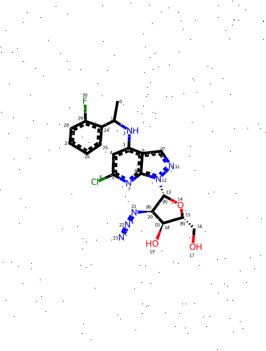 CC(Nc1cc(Cl)nc2c1cnn2[C@@H]1O[C@H](CO)[C@@H](O)[C@H]1N=[N+]=[N-])c1ccccc1F